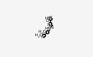 Cc1cc(-c2ccc(CNc3ncc4cc(-c5ccn[nH]c5=O)cnn34)cc2C)ccn1